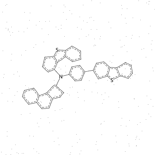 c1ccc2c(c1)ccc1ccc(N(c3ccc(-c4ccc5c(c4)sc4ccccc45)cc3)c3cccc4sc5ccccc5c34)cc12